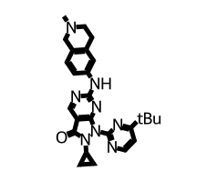 CN1CCc2cc(Nc3ncc4c(=O)n(C5CC5)n(-c5nccc(C(C)(C)C)n5)c4n3)ccc2C1